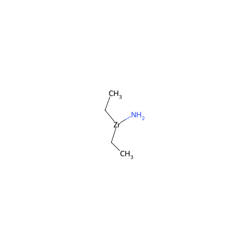 C[CH2][Zr]([NH2])[CH2]C